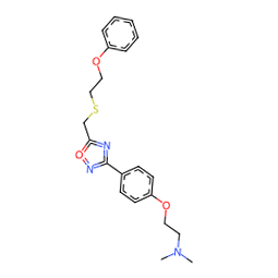 CN(C)CCOc1ccc(-c2noc(CSCCOc3ccccc3)n2)cc1